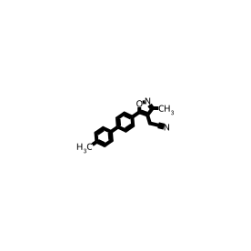 Cc1ccc(-c2ccc(-c3onc(C)c3CC#N)cc2)cc1